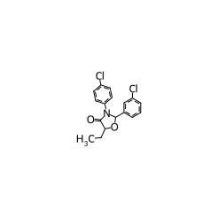 CCC1OC(c2cccc(Cl)c2)N(c2ccc(Cl)cc2)C1=O